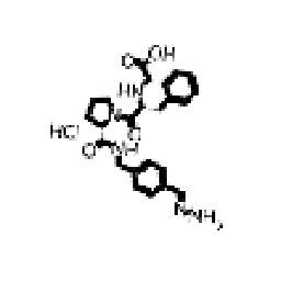 Cl.NN=Cc1ccc(CNC(=O)[C@@H]2CCCN2C(=O)[C@@H](Cc2ccccc2)NCC(=O)O)cc1